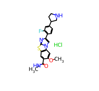 CNC(=O)c1cc2sc3nc(-c4ccc(C5CCNC5)cc4F)cn3c2cc1OC.Cl